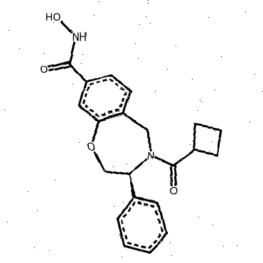 O=C(NO)c1ccc2c(c1)OC[C@H](c1ccccc1)N(C(=O)C1CCC1)C2